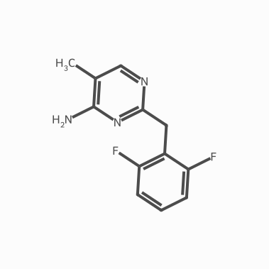 Cc1cnc(Cc2c(F)cccc2F)nc1N